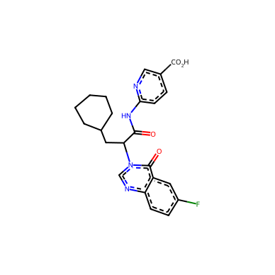 O=C(O)c1ccc(NC(=O)C(CC2CCCCC2)n2cnc3ccc(F)cc3c2=O)nc1